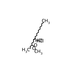 CCCCCCCCCCCC=CCCC(CCC)C(=O)OCC.Cl.Cl